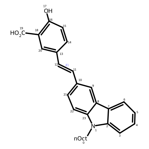 CCCCCCCCn1c2ccccc2c2cc(/C=C/c3ccc(O)c(C(=O)O)c3)ccc21